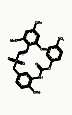 COc1cc(OC)c(/C=C/S(=O)(=O)Cc2ccc(OC)c(NC(=O)Oc3ccc([N+](=O)[O-])cc3)c2)c(OC)c1